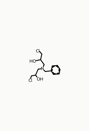 OC(CCl)CN(Cc1ccccc1)CC(O)CCl